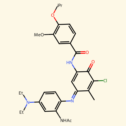 CCN(CC)c1ccc(/N=C2\C=C(NC(=O)c3ccc(OC(C)C)c(OC)c3)C(=O)C(Cl)=C2C)c(NC(C)=O)c1